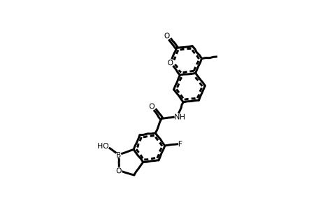 Cc1cc(=O)oc2cc(NC(=O)c3cc4c(cc3F)COB4O)ccc12